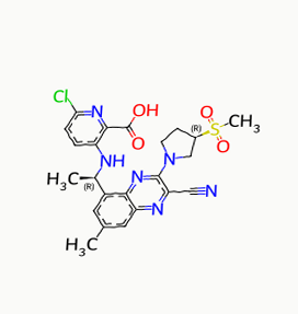 Cc1cc([C@@H](C)Nc2ccc(Cl)nc2C(=O)O)c2nc(N3CC[C@@H](S(C)(=O)=O)C3)c(C#N)nc2c1